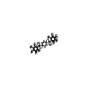 O=C(OC1C=CC(OC(=O)c2c(F)c(F)c(F)c(F)c2F)CC1)c1c(F)c(F)c(F)c(F)c1F